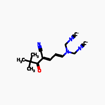 [C-]#[N+]CN(/C=C/C=C(\C#N)C(=O)C(C)(C)C)C[N+]#[C-]